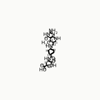 CN1c2c(nc(N)[nH]c2=O)NCC1CNc1ccc(C(=O)N[C@@H](CC(Cl)C(=O)O)C(=O)O)cc1